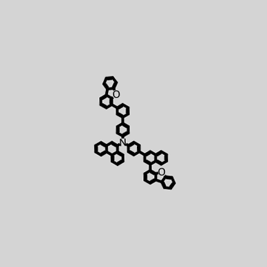 c1cc(-c2ccc(N(c3ccc(-c4cc(-c5cccc6c5oc5ccccc56)c5ccccc5c4)cc3)c3cc4ccccc4c4ccccc34)cc2)cc(-c2cccc3c2oc2ccccc23)c1